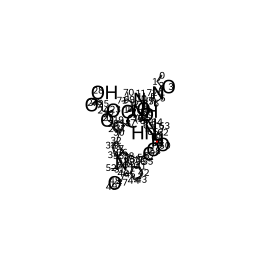 C=CC(=O)N1CC[C@H](C(=O)N(C)C(C(=O)N[C@H]2Cc3cc(OC(=O)CCC(=O)O)cc(c3)-c3ccc4c(c3)c(c(-c3ccccc3CCOC)n4CC)CC(C)(C)COC(=O)[C@@H]3CCCN(N3)C2=O)C(C)C)C1